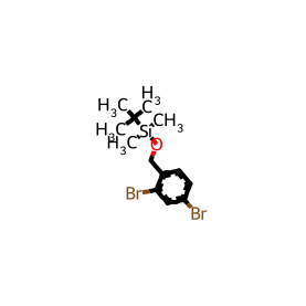 CC(C)(C)[Si](C)(C)OCc1ccc(Br)cc1Br